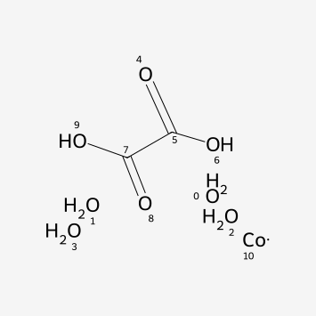 O.O.O.O.O=C(O)C(=O)O.[Co]